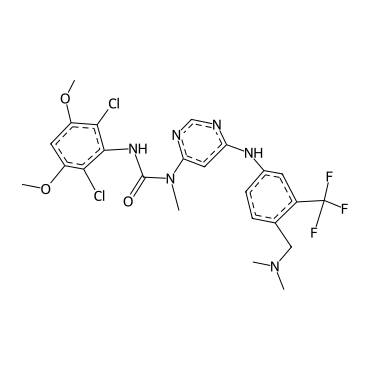 COc1cc(OC)c(Cl)c(NC(=O)N(C)c2cc(Nc3ccc(CN(C)C)c(C(F)(F)F)c3)ncn2)c1Cl